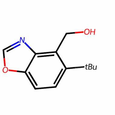 CC(C)(C)c1ccc2ocnc2c1CO